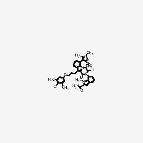 Cc1cc(OCCCc2c3n(c4c(-c5c(C)nn(C)c5C)cccc24)[C@H](C)C(Cl)N(c2cccc4cc(C(N)=O)n(C)c24)C3=O)cc(C)c1Cl